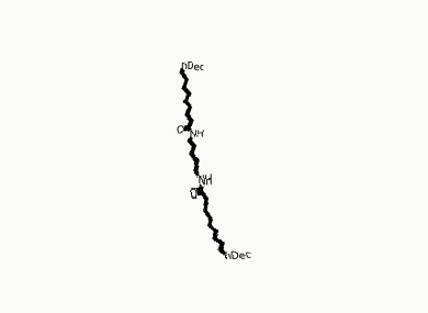 CCCCCCCCCCCCCCCCCCC(=O)NCCCCCNC(=O)CCCCCCCCCCCCCCCCCC